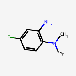 CC(C)N(C)c1ccc(F)cc1N